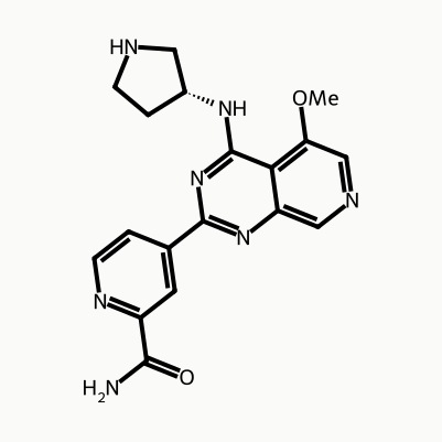 COc1cncc2nc(-c3ccnc(C(N)=O)c3)nc(N[C@@H]3CCNC3)c12